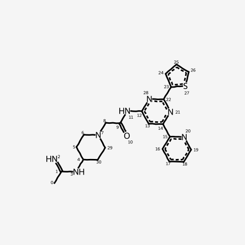 CC(=N)NC1CCN(CC(=O)Nc2cc(-c3ccccn3)nc(-c3cccs3)n2)CC1